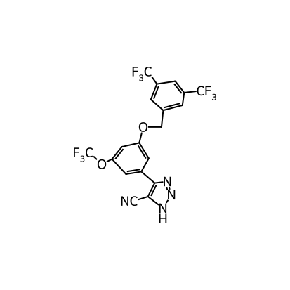 N#Cc1[nH]nnc1-c1cc(OCc2cc(C(F)(F)F)cc(C(F)(F)F)c2)cc(OC(F)(F)F)c1